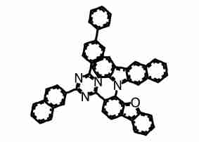 c1ccc(-c2ccc(-c3nc(-c4ccc5ccccc5c4)nc(-c4ccc5c(oc6ccccc65)c4-n4c5ccccc5c5cc6ccccc6cc54)n3)cc2)cc1